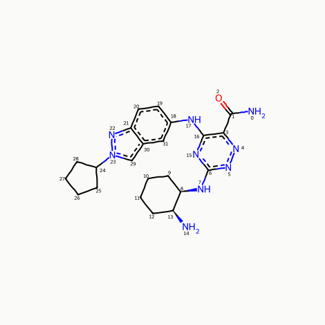 NC(=O)c1nnc(N[C@@H]2CCCC[C@@H]2N)nc1Nc1ccc2nn(C3CCCC3)cc2c1